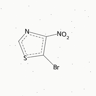 O=[N+]([O-])c1ncsc1Br